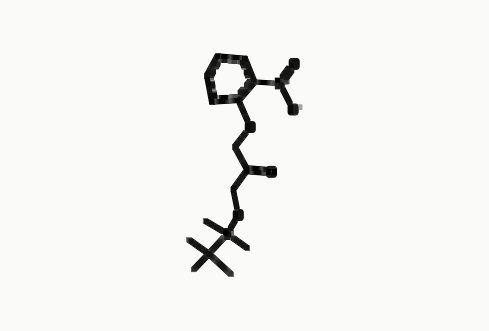 CC(C)(C)[Si](C)(C)OCC(=O)COc1ccccc1[N+](=O)[O-]